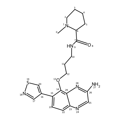 CN1CCCCC1C(=O)NCCCOc1c(-c2cnsc2)ccc2ncc(N)nc12